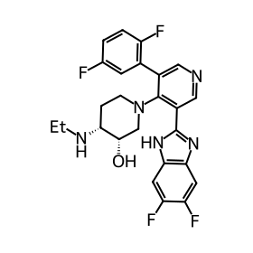 CCN[C@@H]1CCN(c2c(-c3nc4cc(F)c(F)cc4[nH]3)cncc2-c2cc(F)ccc2F)C[C@@H]1O